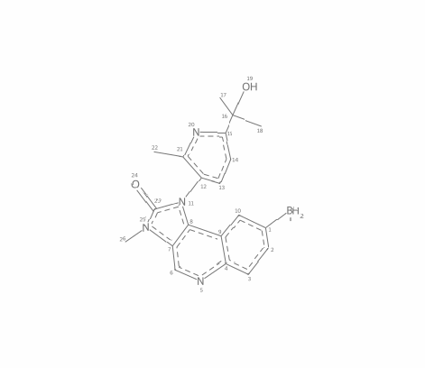 Bc1ccc2ncc3c(c2c1)n(-c1ccc(C(C)(C)O)nc1C)c(=O)n3C